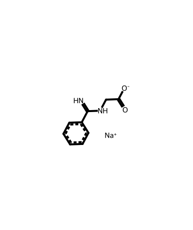 N=C(NCC(=O)[O-])c1ccccc1.[Na+]